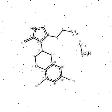 CC(=O)O.NCCc1c[nH]c(=S)n1C1COc2c(F)cc(F)cc2C1